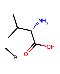 CBr.CC(C)[C@H](N)C(=O)O